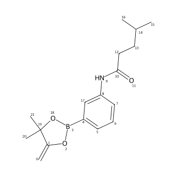 C=C1OB(c2cccc(NC(=O)CCC(C)C)c2)OC1(C)C